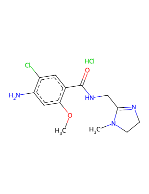 COc1cc(N)c(Cl)cc1C(=O)NCC1=NCCN1C.Cl